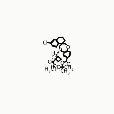 COC(=O)[C@]1(C)CC[C@@H]1CN1CC2(CCCc3cc(Cl)ccc32)COc2ccc(C(=O)OC(C)(C)C)cc21